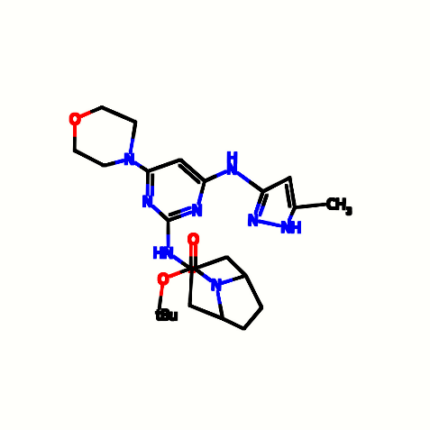 Cc1cc(Nc2cc(N3CCOCC3)nc(NC3CC4CCC(C3)N4C(=O)OC(C)(C)C)n2)n[nH]1